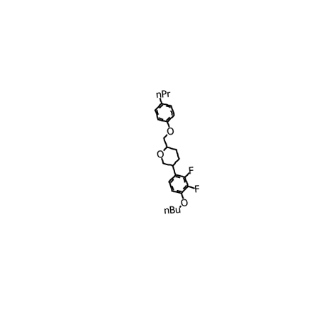 CCCCOc1ccc(C2CCC(COc3ccc(CCC)cc3)OC2)c(F)c1F